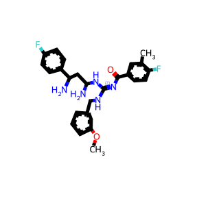 COc1cccc(CN/C(=N/C(=O)c2ccc(F)c(C)c2)NC(N)CC(N)c2ccc(F)cc2)c1